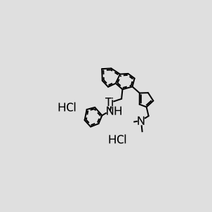 CN(C)CC1=CCC(c2ccc3ccccc3c2[CH2][Ti][NH]c2ccccc2)=C1.Cl.Cl